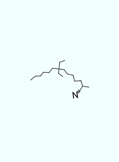 CCCCCCC(CC)(CC)CCCCCC(C)C#N